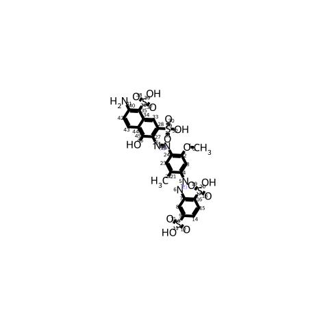 COc1cc(/N=N/c2cc(S(=O)(=O)O)ccc2S(=O)(=O)O)c(C)cc1/N=N/c1c(S(=O)(=O)O)cc2c(S(=O)(=O)O)c(N)ccc2c1O